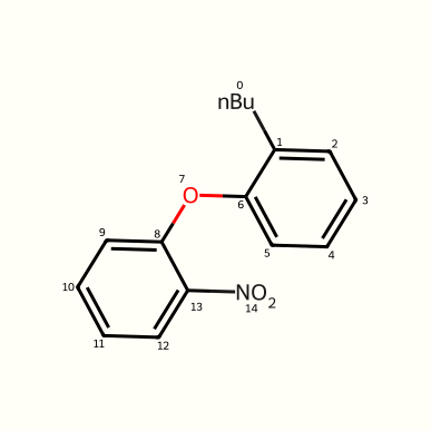 CCCCc1ccccc1Oc1ccccc1[N+](=O)[O-]